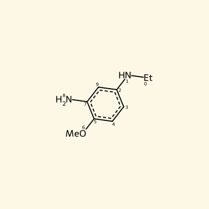 CCNc1ccc(OC)c(N)c1